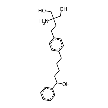 NC(CO)(CO)CCc1ccc(CCCCC(O)c2ccccc2)cc1